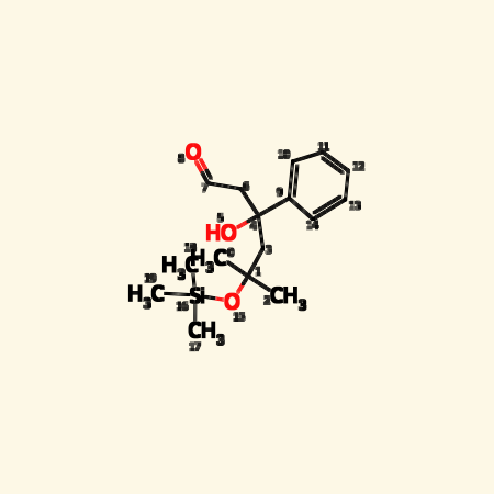 CC(C)(CC(O)(CC=O)c1ccccc1)O[Si](C)(C)C